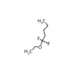 [CH2]COC(F)(F)CCCC